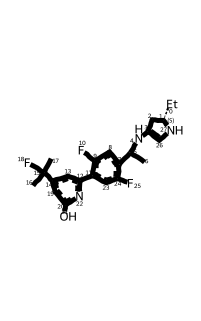 CC[C@H]1CC(NC(C)c2cc(F)c(-c3cc(C(C)(C)F)cc(O)n3)cc2F)=CN1